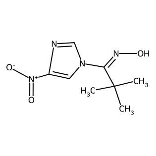 CC(C)(C)C(=NO)n1cnc([N+](=O)[O-])c1